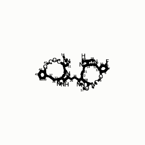 CN1CCOc2ccc(F)cc2-c2cc3c(n[nH]c3cn2)/C=C/c2c(CCc3nc4cc5c(n[nH]c35)/C=C/c3ccccc3OCCOCc3c-4cnn3C)nn(C)c2C1=O